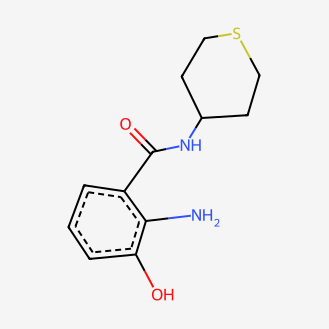 Nc1c(O)cccc1C(=O)NC1CCSCC1